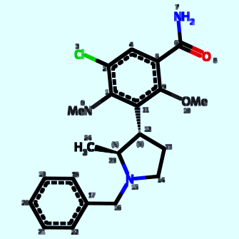 CNc1c(Cl)cc(C(N)=O)c(OC)c1[C@@H]1CCN(Cc2ccccc2)[C@H]1C